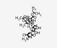 CC(C)OC(=O)[C@H](C)NP(=S)(N[C@@H](C)C(=O)OC(C)C)OC[C@@]1(C(F)F)O[C@@H](n2cc(Cl)c(N)nc2=O)[C@H](O)[C@H]1O